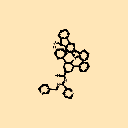 CC1(C)c2ccccc2-c2cc3c4ccccc4n(C4=C(c5ccccc5)C=C(C(=N)/N=C(\N=C\c5cccnc5)c5cccnc5)CC4c4ccccc4)c3cc21